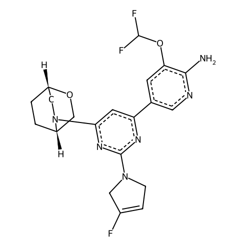 Nc1ncc(-c2cc(N3C[C@@H]4CC[C@H]3CO4)nc(N3CC=C(F)C3)n2)cc1OC(F)F